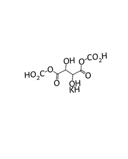 O=C(O)OC(=O)C(O)C(O)C(=O)OC(=O)O.[KH]